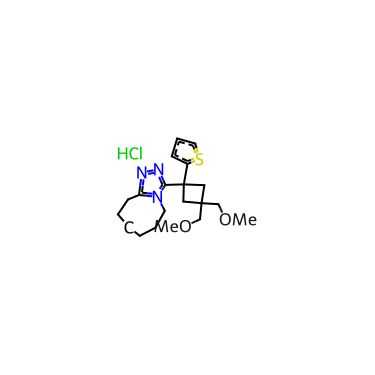 COCC1(COC)CC(c2cccs2)(c2nnc3n2CCCCCC3)C1.Cl